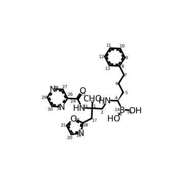 O=CC(CN[C@@H](CCCc1ccccc1)B(O)O)(Cc1ncco1)NC(=O)c1cnccn1